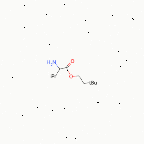 CC(C)C(N)C(=O)OCCC(C)(C)C